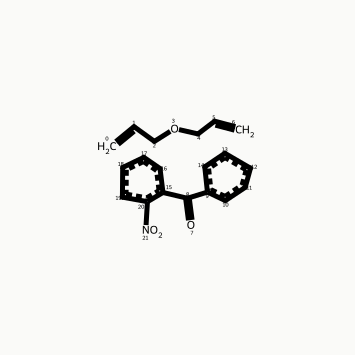 C=CCOCC=C.O=C(c1ccccc1)c1ccccc1[N+](=O)[O-]